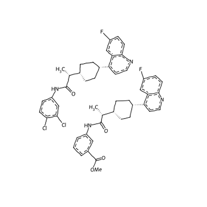 COC(=O)c1cccc(NC(=O)[C@H](C)[C@H]2CC[C@@H](c3ccnc4ccc(F)cc43)CC2)c1.C[C@@H](C(=O)Nc1ccc(Cl)c(Cl)c1)[C@H]1CC[C@@H](c2ccnc3ccc(F)cc32)CC1